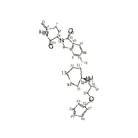 C=C1CCC(N2Cc3cc(C[C@H]4CCCC[C@@H]4NC(C)COc4ccccc4)ccc3C2=O)C(=O)N1